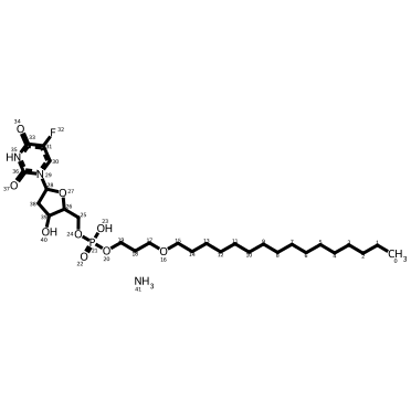 CCCCCCCCCCCCCCCCOCCCOP(=O)(O)OCC1OC(n2cc(F)c(=O)[nH]c2=O)CC1O.N